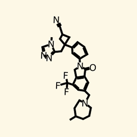 CC1CCCN(Cc2cc3c(c(C(F)(F)F)c2)CN(c2cccc(C4(Cc5nncn5C)CC(C#N)C4)c2)C3=O)CC1